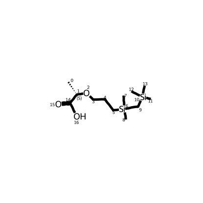 C[C@H](OCCC[Si](C)(C)C[Si](C)(C)C)C(=O)O